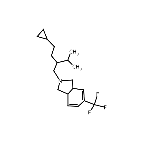 CC(C)C(CCC1CC1)CN1CC2C=CC(C(F)(F)F)=CC2C1